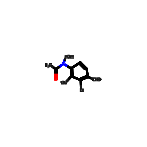 CCCCCCCCN(C(=O)C(F)(F)F)c1ccc([C]=O)c(CC)c1C(C)(C)C